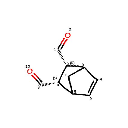 O=[C][C@@H]1C2C=CC(C2)[C@@H]1[C]=O